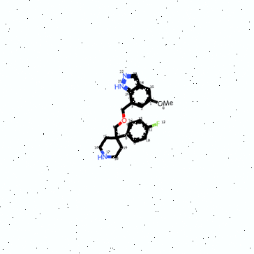 COc1cc(COCC2(c3ccc(F)cc3)CCNCC2)c2[nH]ncc2c1